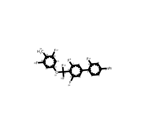 CCCc1ccc(-c2cc(F)c(C(F)(F)Oc3cc(F)c(C)c(F)c3)c(F)c2)c(F)c1